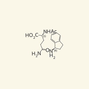 CC(=O)N[C@@H](CCC(N)=O)C(=O)O.N[C@@H]1CCc2ccccc21